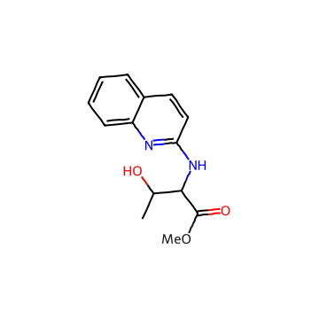 COC(=O)C(Nc1ccc2ccccc2n1)C(C)O